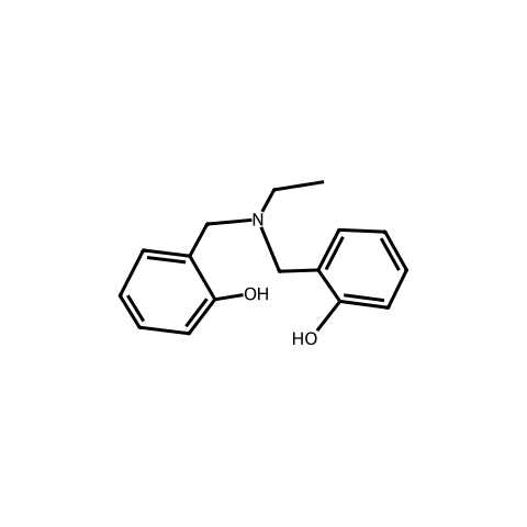 CCN(Cc1ccccc1O)Cc1ccccc1O